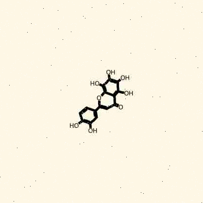 O=c1cc(-c2ccc(O)c(O)c2)oc2c(O)c(O)c(O)c(O)c12